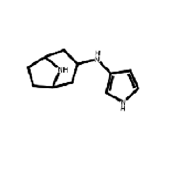 c1cc(NC2CC3CCC(C2)N3)c[nH]1